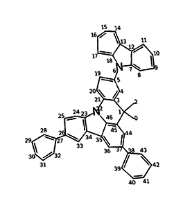 CC1(C)c2cc(-n3c4ccccc4c4ccccc43)ccc2-n2c3ccc(-c4ccccc4)cc3c3cc(-c4ccccc4)cc1c32